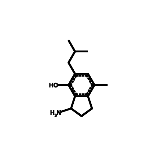 Cc1cc(CC(C)C)c(O)c2c1CCC2N